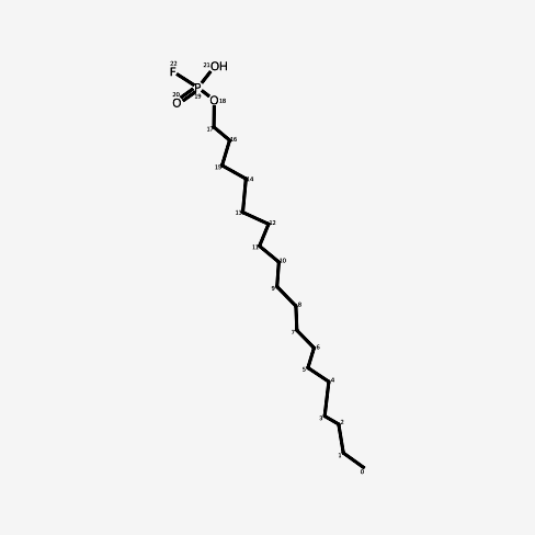 CCCCCCCCCCCCCCCCCCOP(=O)(O)F